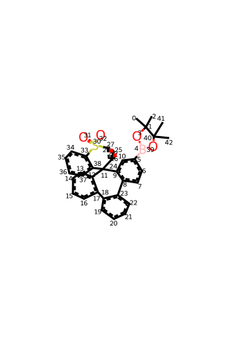 CC1(C)OB(c2ccc3c(c2)C2(c4ccccc4-c4ccccc4-3)c3ccccc3S(=O)(=O)c3ccccc32)OC1(C)C